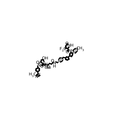 Cc1ncsc1-c1ccc(CNC(=O)[C@@H]2C[C@@H](O)CN2C(=O)[C@@H](NC(=O)CCC(=O)NCCN2CCN(Cc3cccc(-c4ccc(N5CCN(C)CC5)c(NC(=O)c5c[nH]c(=O)cc5C(F)(F)F)c4)c3)CC2)C(C)(C)C)cc1